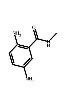 CNC(=O)c1cc(N)ccc1N